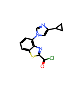 O=C(Cl)c1nc2c(-n3cnc(C4CC4)c3)cccc2s1